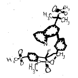 COP(=O)(OC)C(F)(Cc1cccc(-c2cc(C(C)(C)S(C)(=O)=O)cc3cccnc23)c1)c1ccc(S(C)(=O)=O)cc1